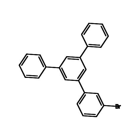 Brc1cccc(-c2cc(-c3ccccc3)cc(-c3ccccc3)c2)c1